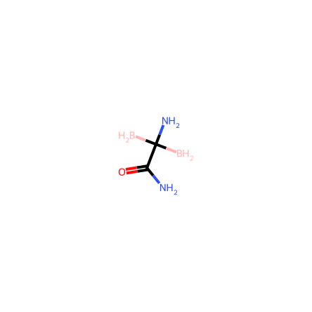 BC(B)(N)C(N)=O